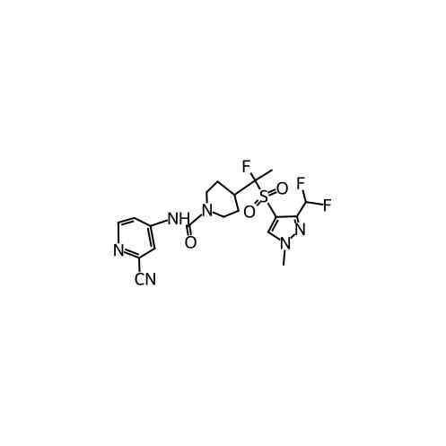 Cn1cc(S(=O)(=O)C(C)(F)C2CCN(C(=O)Nc3ccnc(C#N)c3)CC2)c(C(F)F)n1